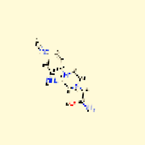 [C-]#[N+]c1ccc(N2CCN(CC(N)=O)CC2)c(N)c1